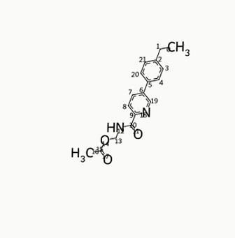 CCc1ccc(-c2ccc(C(=O)NCOC(C)=O)nc2)cc1